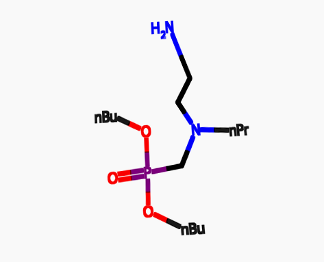 CCCCOP(=O)(CN(CCC)CCN)OCCCC